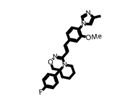 COc1cc(/C=C/C2=NOCC3(c4ccc(F)cc4)CCCCN23)ccc1-n1cnc(C)c1